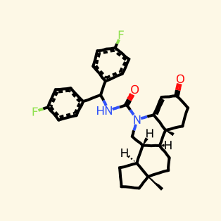 C[C@@]12CCC[C@H]1[C@@H]1CN(C(=O)NC(c3ccc(F)cc3)c3ccc(F)cc3)C3=CC(=O)CC[C@]3(C)[C@H]1CC2